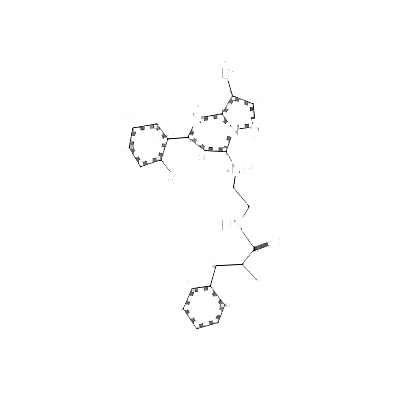 CC(Cc1ccccc1)C(=O)NCCNc1cc(-c2ccccc2Cl)nc2c(Br)cnn12